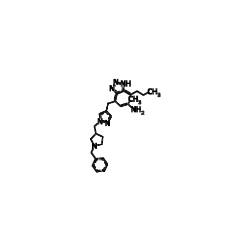 CCC\C=c1/[nH]nn/c1=C(/C=C(\C)N)Cc1cnn(CC2CCN(Cc3ccccc3)C2)c1